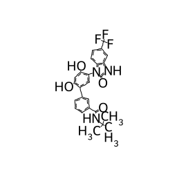 CC(C)(C)NC(=O)c1cccc(-c2cc(-n3c(=O)[nH]c4cc(C(F)(F)F)ccc43)c(O)cc2O)c1